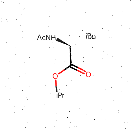 CC[C@H](C)[C@H](NC(C)=O)C(=O)OC(C)C